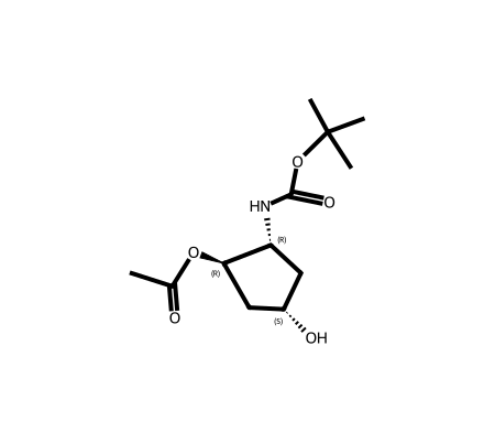 CC(=O)O[C@@H]1C[C@@H](O)C[C@H]1NC(=O)OC(C)(C)C